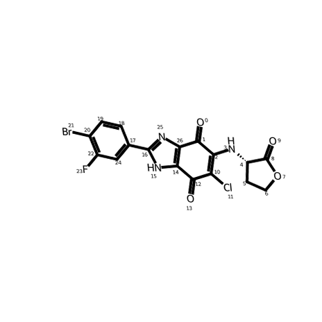 O=C1C(N[C@H]2CCOC2=O)=C(Cl)C(=O)c2[nH]c(-c3ccc(Br)c(F)c3)nc21